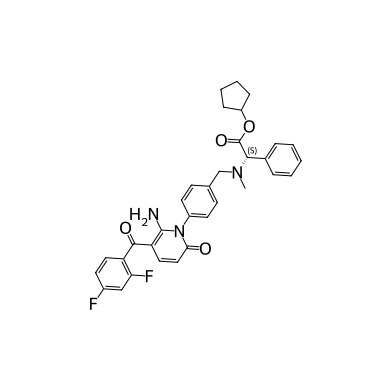 CN(Cc1ccc(-n2c(N)c(C(=O)c3ccc(F)cc3F)ccc2=O)cc1)[C@H](C(=O)OC1CCCC1)c1ccccc1